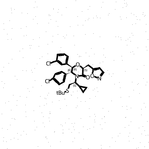 CC(C)(C)SC[C@H](C1CC1)N1C(=O)[C@H](Cc2ccno2)O[C@H](c2cccc(Cl)c2)[C@H]1c1ccc(Cl)cc1